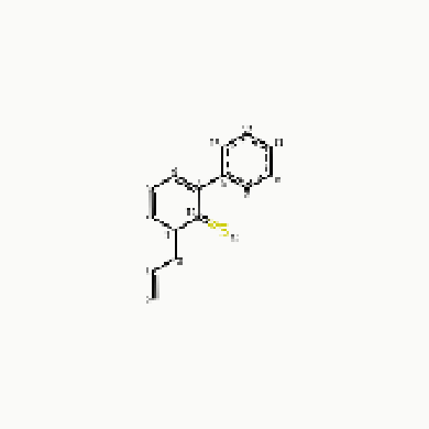 C=CCC1C=CC=C(c2ccccc2)C1=S